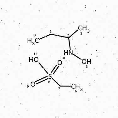 CCC(C)NO.CCS(=O)(=O)O